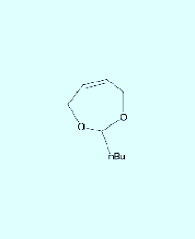 CCCCC1OCC=CCO1